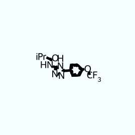 CC(C)C(=O)Nc1nnc(-c2ccc(OC(F)(F)F)cc2)[nH]1